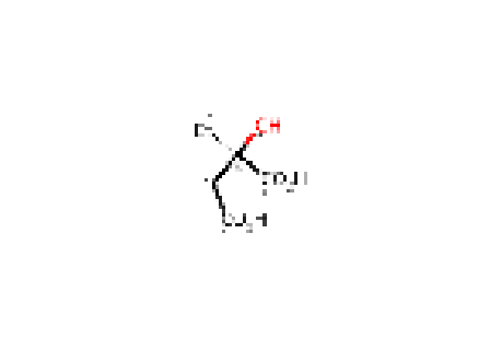 CC[C@@](O)(CC(=O)O)C(=O)O